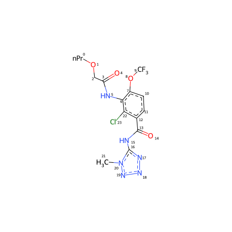 CCCOCC(=O)Nc1c(OC(F)(F)F)ccc(C(=O)Nc2nnnn2C)c1Cl